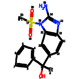 CCC(O)(c1ccccc1)c1ccc2nc(N)n(S(=O)(=O)C(C)C)c2c1